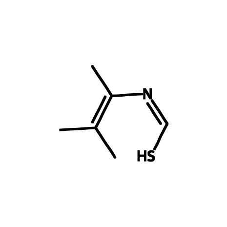 CC(C)=C(C)/N=C\S